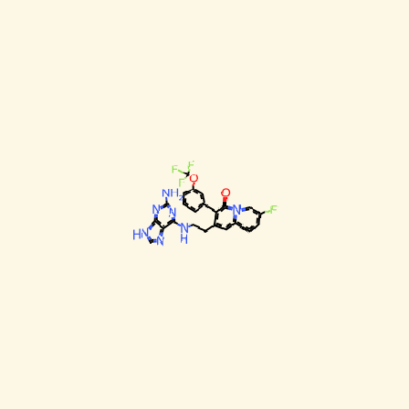 Nc1nc(NCCc2cc3ccc(F)cn3c(=O)c2-c2cccc(OC(F)(F)F)c2)c2nc[nH]c2n1